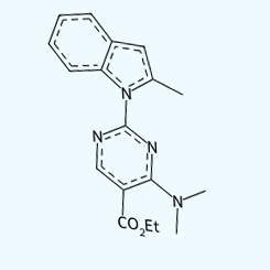 CCOC(=O)c1cnc(-n2c(C)cc3ccccc32)nc1N(C)C